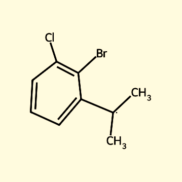 C[C](C)c1cccc(Cl)c1Br